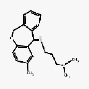 Cc1ccc2c(c1)C(NCCCN(C)C)c1ccccc1CO2